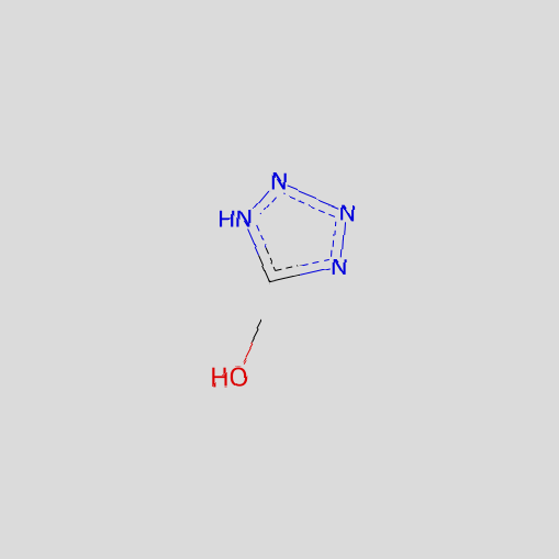 CO.c1nnn[nH]1